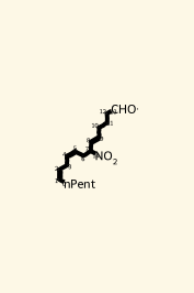 CCCCC/C=C\C/C=C\CC(/C=C/CCC[C]=O)[N+](=O)[O-]